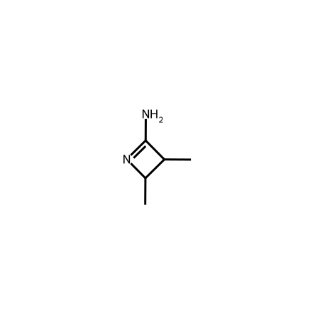 CC1N=C(N)C1C